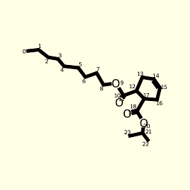 CCCCCCCCCOC(=O)C1CC=CCC1C(=O)OC(C)C